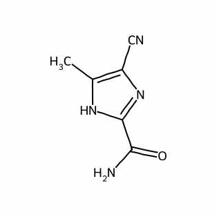 Cc1[nH]c(C(N)=O)nc1C#N